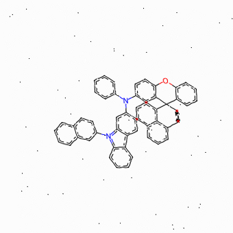 c1ccc(N(c2ccc3c(c2)C2(c4ccccc4O3)c3ccccc3-c3cccc4cccc2c34)c2ccc3c4ccccc4n(-c4ccc5ccccc5c4)c3c2)cc1